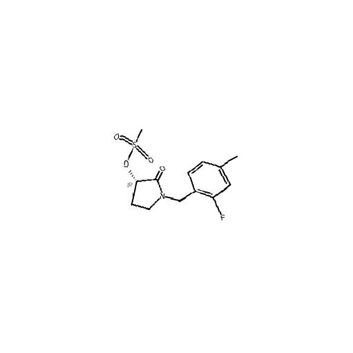 Cc1ccc(CN2CC[C@H](OS(C)(=O)=O)C2=O)c(F)c1